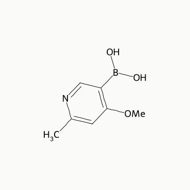 COc1cc(C)ncc1B(O)O